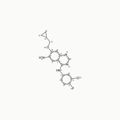 Nc1cc2c(Nc3ccc(F)c(Cl)c3)ncnc2cc1OCC1CC1